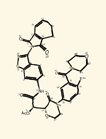 CC(=O)O[C@@H](C(=O)Nc1ccc2c(N3C(=O)C4=C(CCC=C4)C3=O)noc2c1)[C@H]1OCCN(c2ccc(F)c(C(=O)N3CCOCC3)c2)C1=O